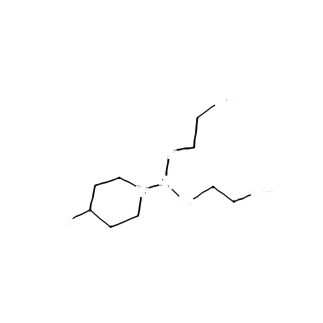 OCCON(OCCO)N1CCC(O)CC1